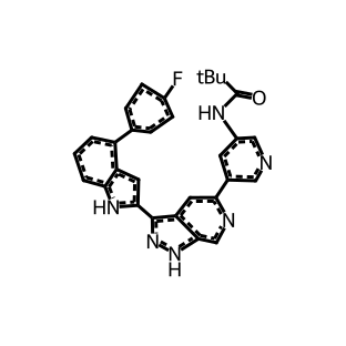 CC(C)(C)C(=O)Nc1cncc(-c2cc3c(-c4cc5c(-c6ccc(F)cc6)cccc5[nH]4)n[nH]c3cn2)c1